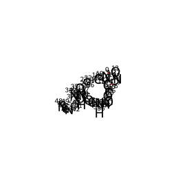 CCn1c(-c2cccnc2[C@H](C)OC)c2c3cc(ccc31)-c1cccc(c1)C[C@H](NC(=O)[C@H](C(C)C)N(C)C(=O)[C@H]1CC[C@H](N=C=NC(C)C)C1)COCN1CCC[C@H](N1)C(=O)OCC(C)(C)C2